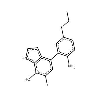 CCSc1ccc(N)c(-c2cc(C)[n+](O)c3[nH]ccc23)c1